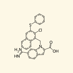 N=C(N)c1ccc2cc(C(=O)O)n(Cc3c(Cl)c(Sc4ccccc4)cc4ccccc34)c2c1